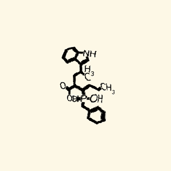 CCCC(C(CC(C)c1c[nH]c2ccccc12)C(=O)O)P(=O)(O)Cc1ccccc1